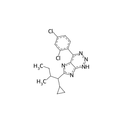 CCC(C)C(c1nc2[nH]nnc(-c3ccc(Cl)cc3Cl)c-2n1)C1CC1